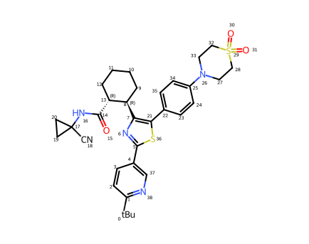 CC(C)(C)c1ccc(-c2nc([C@@H]3CCCC[C@H]3C(=O)NC3(C#N)CC3)c(-c3ccc(N4CCS(=O)(=O)CC4)cc3)s2)cn1